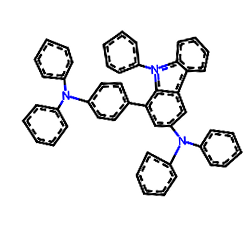 c1ccc(N(c2ccccc2)c2ccc(-c3cc(N(c4ccccc4)c4ccccc4)cc4c5ccccc5n(-c5ccccc5)c34)cc2)cc1